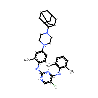 COc1cc(N2CCN(C3C4CC5CC(C4)CC3C5)CC2)ccc1Nc1ncc(Cl)c(Nc2c(C)cccc2C)n1